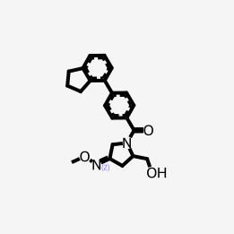 CO/N=C1/CC(CO)N(C(=O)c2ccc(-c3cccc4c3CCC4)cc2)C1